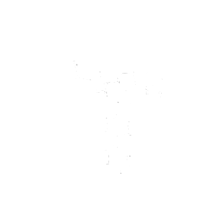 CS(=O)(=O)N[C@H]1CCN(c2ncc(CO)s2)[C@H]1CO[C@H]1CC[C@@H](c2ccccc2)CC1